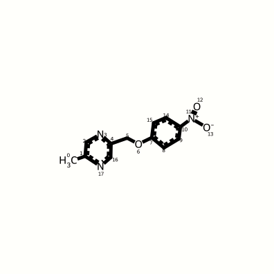 Cc1cnc(COc2ccc([N+](=O)[O-])cc2)cn1